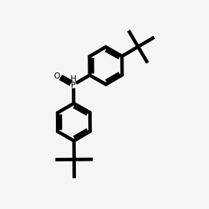 CC(C)(C)c1ccc([PH](=O)c2ccc(C(C)(C)C)cc2)cc1